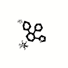 S.[F][Sb-]([F])([F])([F])([F])[F].[H+].c1ccc(-c2cccc(-c3cccs3)c2-c2ccccc2)cc1